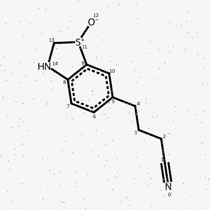 N#CCCCc1ccc2c(c1)[S+]([O-])CN2